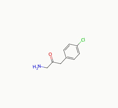 NCC(=O)Cc1ccc(Cl)cc1